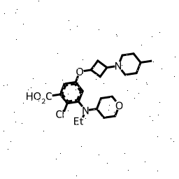 CCN(c1cc(OC2CC(N3CCC(C)CC3)C2)cc(C(=O)O)c1Cl)C1CCOCC1